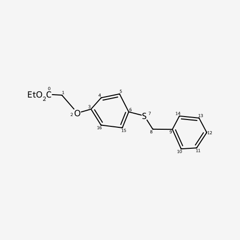 CCOC(=O)COc1ccc(SCc2ccccc2)cc1